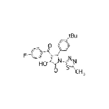 Cc1nnc(N2C(=O)C(O)=C(C(=O)c3ccc(F)cc3)C2c2ccc(C(C)(C)C)cc2)s1